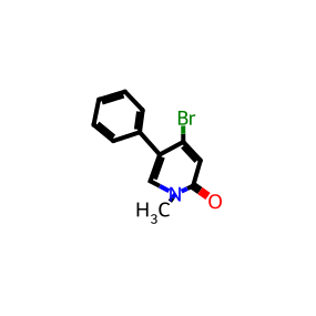 Cn1cc(-c2ccccc2)c(Br)cc1=O